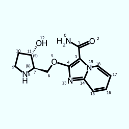 NC(=O)c1c(OC[C@H]2NCC[C@@H]2O)nc2ccccn12